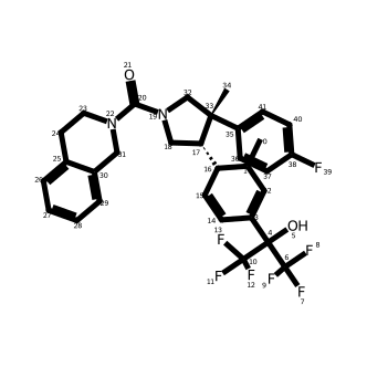 CC1C=C(C(O)(C(F)(F)F)C(F)(F)F)C=CC1[C@@H]1CN(C(=O)N2CCc3ccccc3C2)C[C@]1(C)c1ccc(F)cc1